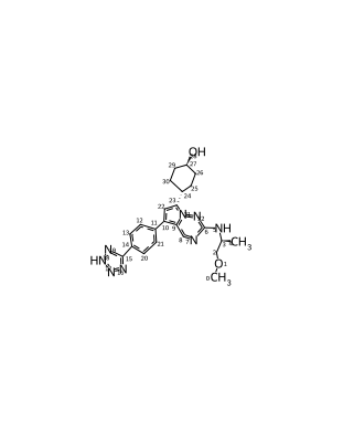 COC[C@H](C)Nc1ncc2c(-c3ccc(-c4nn[nH]n4)cc3)cc([C@H]3CC[C@H](O)CC3)n2n1